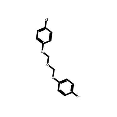 Clc1ccc(OCOCOc2ccc(Cl)cc2)cc1